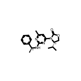 Cc1cc(N2C(=O)OC[C@@H]2C(C)C)nc(N[C@@H](C)c2ccccc2)n1